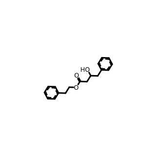 O=C(CC(O)Cc1ccccc1)OCCc1ccccc1